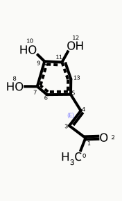 CC(=O)/C=C/c1cc(O)c(O)c(O)c1